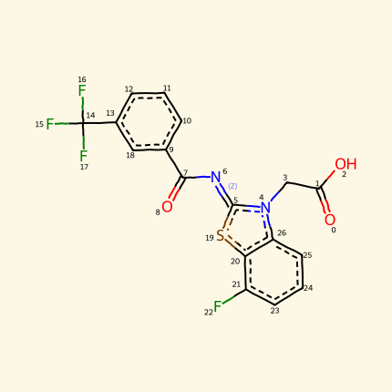 O=C(O)Cn1/c(=N/C(=O)c2cccc(C(F)(F)F)c2)sc2c(F)cccc21